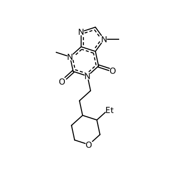 CCC1COCCC1CCn1c(=O)c2c(ncn2C)n(C)c1=O